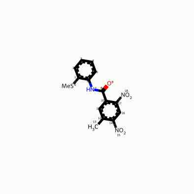 CSc1ccccc1NC(=O)c1cc(C)c([N+](=O)[O-])cc1[N+](=O)[O-]